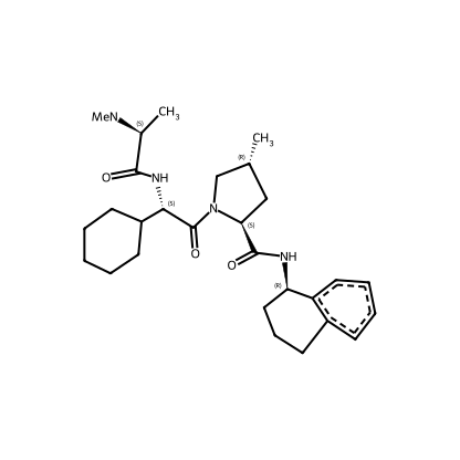 CN[C@@H](C)C(=O)N[C@H](C(=O)N1C[C@H](C)C[C@H]1C(=O)N[C@@H]1CCCc2ccccc21)C1CCCCC1